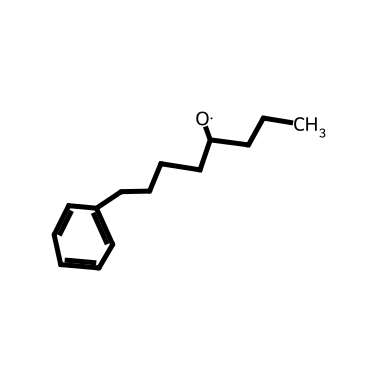 CCCC([O])CCCCc1ccccc1